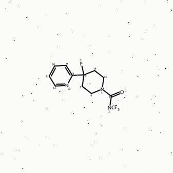 O=C(NC(F)(F)F)N1CCC(F)(c2ccccn2)CC1